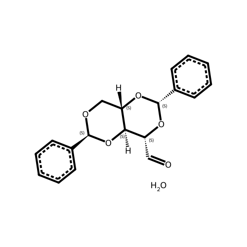 O.O=C[C@H]1O[C@@H](c2ccccc2)O[C@H]2CO[C@H](c3ccccc3)O[C@@H]21